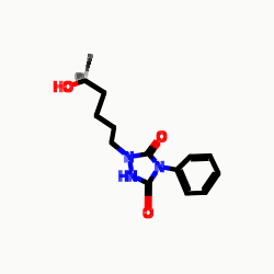 C[C@@H](O)CCCCn1[nH]c(=O)n(-c2ccccc2)c1=O